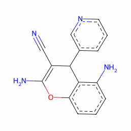 N#CC1=C(N)Oc2cccc(N)c2C1c1cccnc1